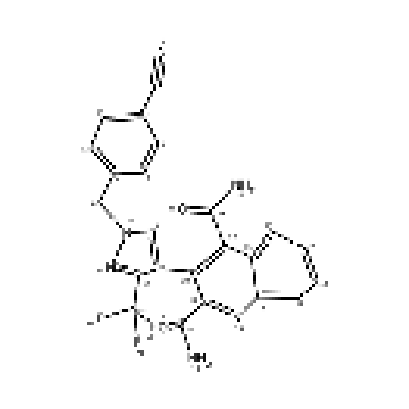 N#Cc1ccc(Cn2cc(-c3c(C(N)=O)nc4ccccc4c3C(N)=O)c(C(F)(F)F)n2)cc1